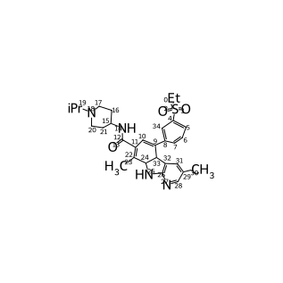 CCS(=O)(=O)c1cccc(C2=CC(C(=O)NC3CCN(C(C)C)CC3)=C(C)C3Nc4ncc(C)cc4C23)c1